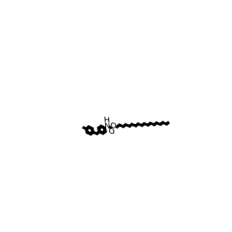 CCCCCCCCCCCCCCCCCCOC(=O)Nc1ccc(Cc2ccc(C)cc2)cc1